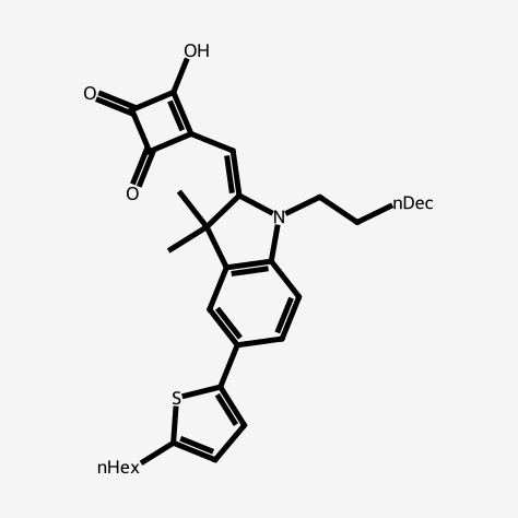 CCCCCCCCCCCCN1/C(=C/c2c(O)c(=O)c2=O)C(C)(C)c2cc(-c3ccc(CCCCCC)s3)ccc21